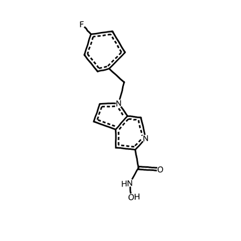 O=C(NO)c1cc2ccn(Cc3ccc(F)cc3)c2cn1